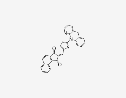 O=C1/C(=C\c2ccc(N3c4ccccc4Cc4cccnc43)s2)C(=O)c2c1ccc1ccccc21